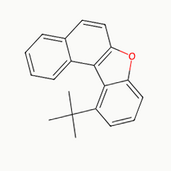 CC(C)(C)c1cccc2oc3ccc4ccccc4c3c12